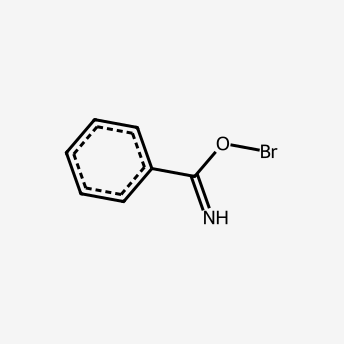 N=C(OBr)c1ccccc1